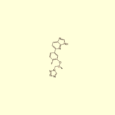 C[C@@H](Cn1cnnn1)Oc1cc(-c2ccc3nc[nH]c3n2)ccc1F